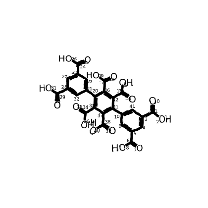 O=C(O)c1cc(C(=O)O)cc(-c2c(C(=O)O)c(C(=O)O)c(-c3cc(C(=O)O)cc(C(=O)O)c3)c(C(=O)O)c2C(=O)O)c1